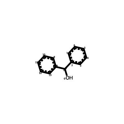 O[C](c1ccccc1)c1ccccc1